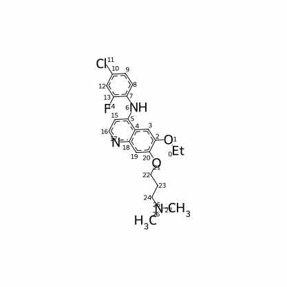 CCOc1cc2c(Nc3ccc(Cl)cc3F)ccnc2cc1OCCCN(C)C